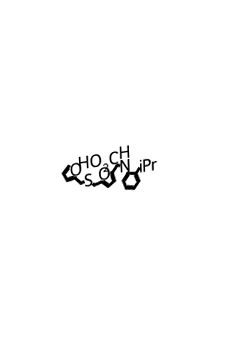 CC(C)c1ccccc1NC(C(=O)O)c1ccc(CSCc2ccco2)o1